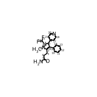 CN1C(CCC(N)=O)=C(c2ccccc2)C(c2ccncc2)N1C(F)F